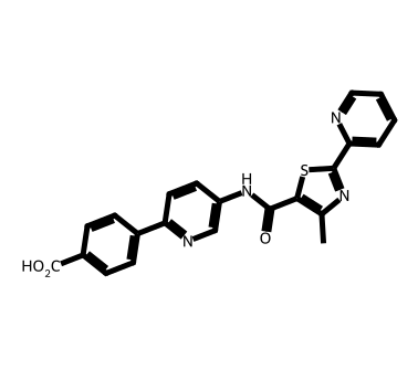 Cc1nc(-c2ccccn2)sc1C(=O)Nc1ccc(-c2ccc(C(=O)O)cc2)nc1